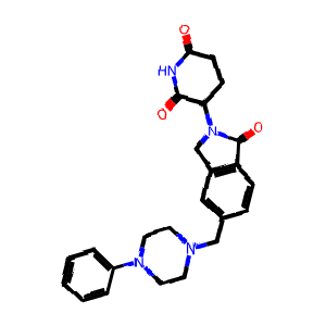 O=C1CCC(N2Cc3cc(CN4CCN(c5ccccc5)CC4)ccc3C2=O)C(=O)N1